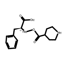 O=C(ON[C@@H](Cc1ccccc1)C(=O)O)C1CCNCC1